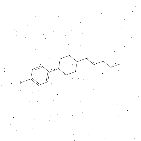 CCCCCC1CCC(c2ccc(F)cc2)CC1